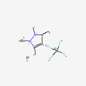 CCCCN1C(C)=CC(C)N1C.F[B-](F)(F)F.[H+]